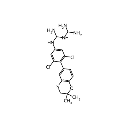 CC1(C)CSc2cc(-c3c(Cl)cc(NC(N)NC(N)N)cc3Cl)ccc2O1